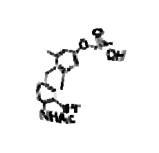 CC(=O)Nc1ccc(Cc2c(C)cc(OCP(C)(=O)O)cc2C)cc1C(C)C